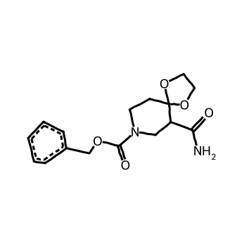 NC(=O)C1CN(C(=O)OCc2ccccc2)CCC12OCCO2